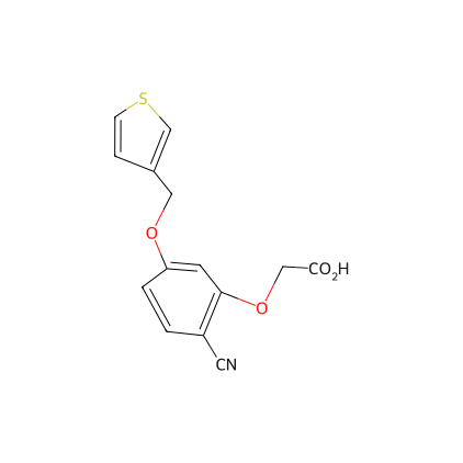 N#Cc1ccc(OCc2ccsc2)cc1OCC(=O)O